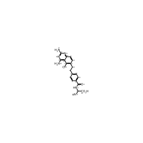 CCCC(NC(=O)c1ccc(CCc2ccc3nc(N)nc(N)c3c2Cl)cc1)C(=O)O